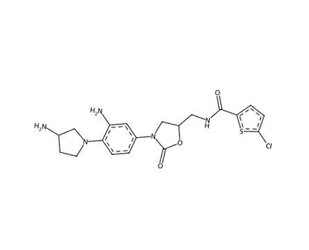 Nc1cc(N2CC(CNC(=O)c3ccc(Cl)s3)OC2=O)ccc1N1CCC(N)C1